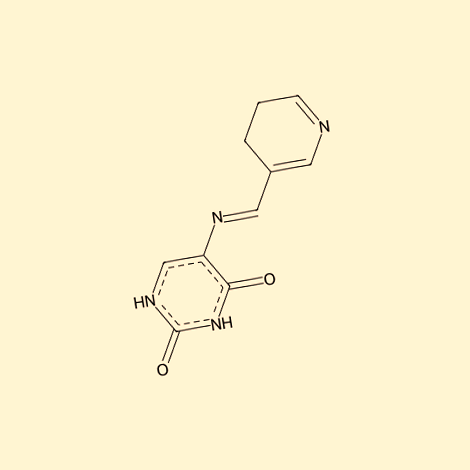 O=c1[nH]cc(/N=C/C2=CN=CCC2)c(=O)[nH]1